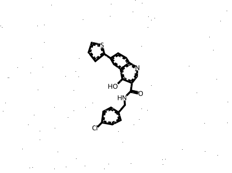 O=C(NCc1ccc(Cl)cc1)c1cnc2ccc(-c3cccs3)cc2c1O